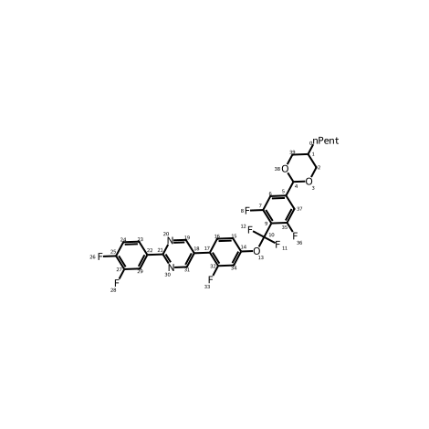 CCCCCC1COC(c2cc(F)c(C(F)(F)Oc3ccc(-c4cnc(-c5ccc(F)c(F)c5)nc4)c(F)c3)c(F)c2)OC1